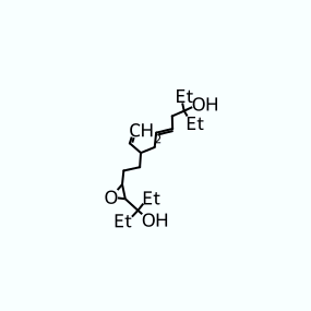 C=CC(C/C=C/CC(O)(CC)CC)CCC1OC1C(O)(CC)CC